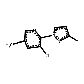 Cc1cnc(-n2ccc(I)n2)c(Cl)c1